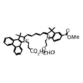 COC(=O)c1ccc2c(c1)C(C)(C)/C(=C/C=C/C=C/C1=[N+](CCC(=O)O)c3c(c4ccccc4c4ccccc34)C1(C)C)N2CCOC=O